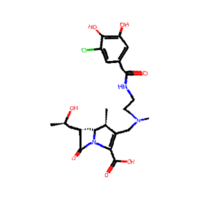 C[C@H]1C(CN(C)CCNC(=O)c2cc(O)c(O)c(Cl)c2)=C(C(=O)O)N2C(=O)[C@H]([C@@H](C)O)C12